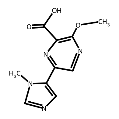 COc1ncc(-c2cncn2C)nc1C(=O)O